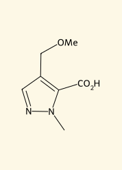 COCc1cnn(C)c1C(=O)O